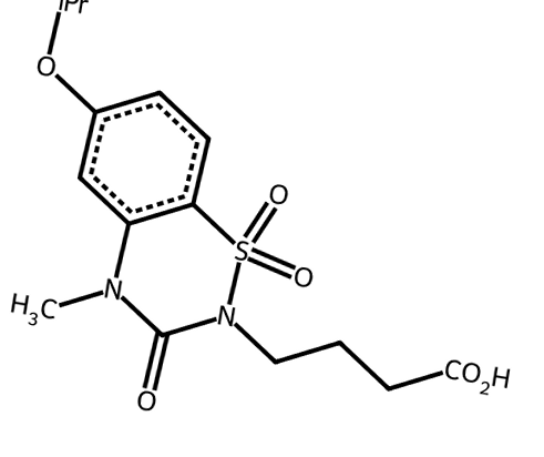 CC(C)Oc1ccc2c(c1)N(C)C(=O)N(CCCC(=O)O)S2(=O)=O